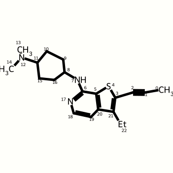 CC#Cc1sc2c(NC3CCC(N(C)C)CC3)nccc2c1CC